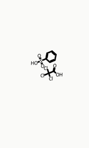 O=C(O)C(Cl)(Cl)Cl.O=S(=O)(O)c1ccccc1